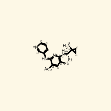 CC[C@H](Nc1nc(Nc2cccnc2)c(C(C)=O)cc1F)C1(N)CC1